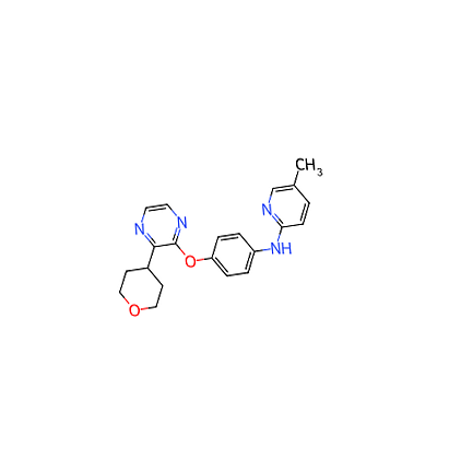 Cc1ccc(Nc2ccc(Oc3nccnc3C3CCOCC3)cc2)nc1